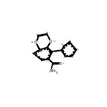 NC(=S)c1ccc2c(c1-c1ccccc1)OCCO2